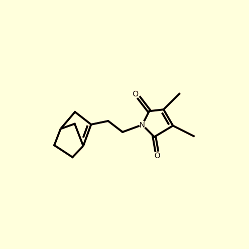 CC1=C(C)C(=O)N(CCC2=C3CCC(C3)C2)C1=O